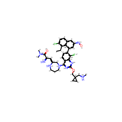 CCc1c(F)ccc2cc(N=O)cc(-c3ccc4c(N5CCCN/C(=C\C(=N)C(=O)N(C)C)C5)nc(OCC5(CNC)CC5)nc4c3F)c12